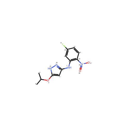 CC(C)Oc1cc(Nc2cc(F)ccc2[N+](=O)[O-])n[nH]1